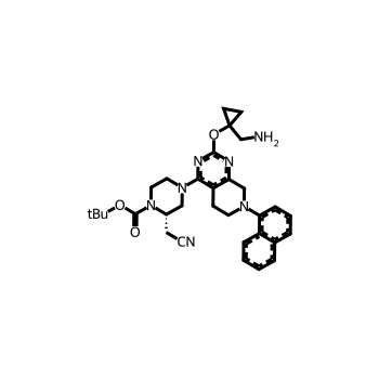 CC(C)(C)OC(=O)N1CCN(c2nc(OC3(CN)CC3)nc3c2CCN(c2cccc4ccccc24)C3)C[C@@H]1CC#N